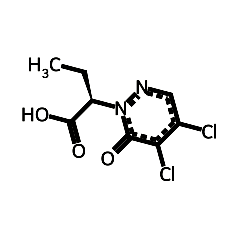 CC[C@H](C(=O)O)n1ncc(Cl)c(Cl)c1=O